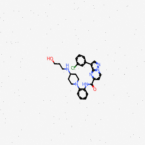 O=C(Nc1ccccc1N1CCC(NCCCO)CC1)c1ccn2ncc(-c3cccc(Cl)c3)c2n1